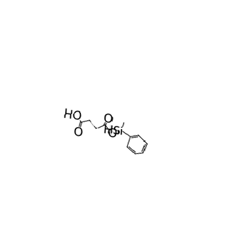 C[SiH](OC(=O)CCC(=O)O)c1ccccc1